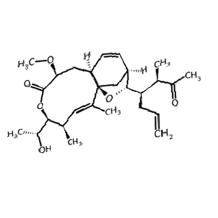 C=CC[C@@H]([C@@H]1O[C@]23C[C@H]1C=C[C@@H]2C[C@H](OC)C(=O)O[C@H]([C@@H](C)O)[C@H](C)/C=C/3C)[C@@H](C)C(C)=O